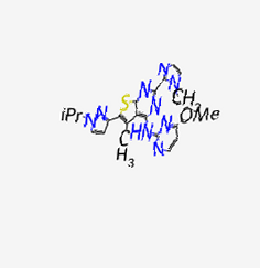 COc1ccnc(Nc2nc(-c3nccn3C)nc3sc(-c4ccn(C(C)C)n4)c(C)c23)n1